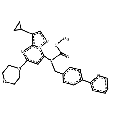 CC(C)(C)OC(=O)N(Cc1ccc(-c2ccccn2)cc1)c1cc(N2CCOCC2)nc2c(C3CC3)cnn12